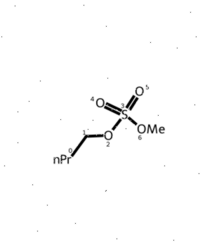 CCCCOS(=O)(=O)OC